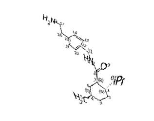 CC(C)[C@@H]1CC[C@@H](C)C[C@H]1C(=O)NCc1ccc(CCN)cc1